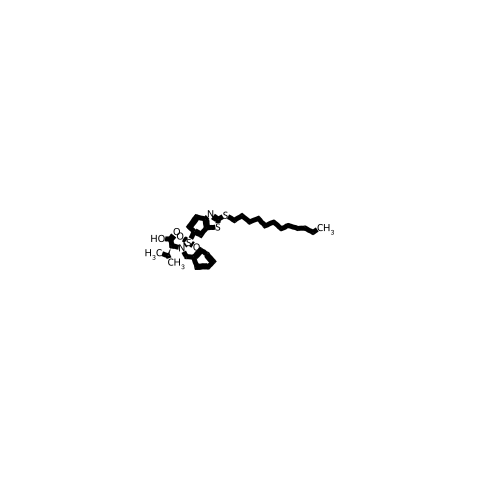 CCCCCCCCCCCCSc1nc2ccc(S(=O)(=O)N(Cc3ccccc3)[C@@H](C(=O)O)C(C)C)cc2s1